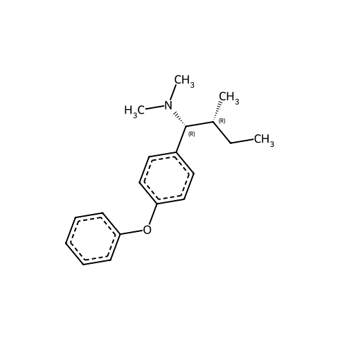 CC[C@@H](C)[C@H](c1ccc(Oc2ccccc2)cc1)N(C)C